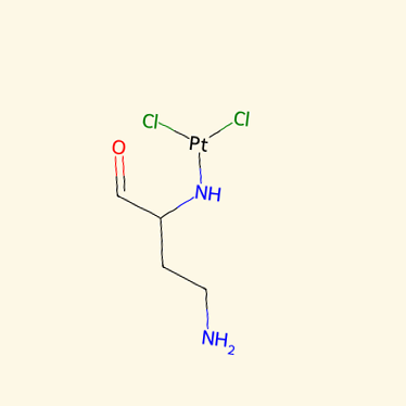 NCCC(C=O)[NH][Pt]([Cl])[Cl]